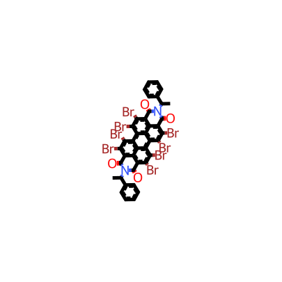 CC(c1ccccc1)N1C(=O)c2c(Br)c(Br)c3c4c(Br)c(Br)c5c6c(c(Br)c(Br)c(c7c(Br)c(Br)c(c2c37)C1=O)c64)C(=O)N(C(C)c1ccccc1)C5=O